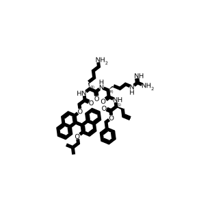 C=CC[C@H](NC(=O)[C@@H](CCCNC(=N)N)NC(=O)[C@@H](CCCCN)NC(=O)COc1ccc2ccccc2c1-c1c(OCC(C)C)ccc2ccccc12)C(=O)OCc1ccccc1